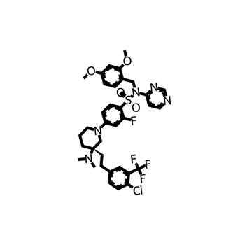 COc1ccc(CN(c2ccncn2)S(=O)(=O)c2ccc(N3CCC[C@@](CCc4ccc(Cl)c(C(F)(F)F)c4)(N(C)C)C3)cc2F)c(OC)c1